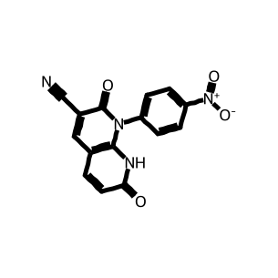 N#Cc1cc2ccc(=O)[nH]c2n(-c2ccc([N+](=O)[O-])cc2)c1=O